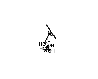 CCCCCCCCC(CCCCCCCC)OC(=O)CCCCCCCNCCO.O=C(O)c1cc(C(=O)O)cc(C(=O)O)c1